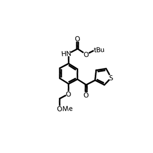 COCOc1ccc(NC(=O)OC(C)(C)C)cc1C(=O)c1ccsc1